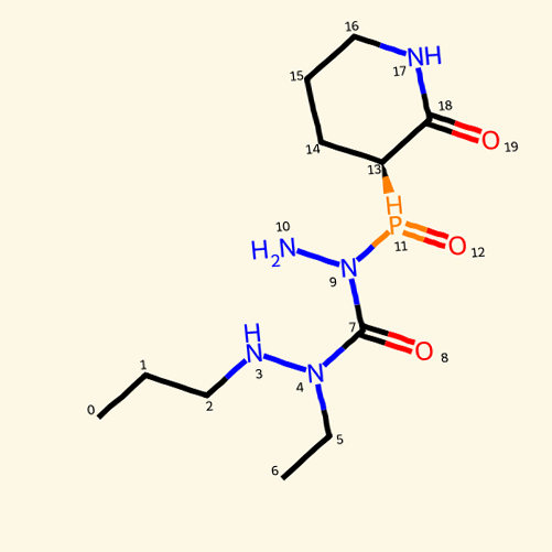 CCCNN(CC)C(=O)N(N)[PH](=O)[C@H]1CCCNC1=O